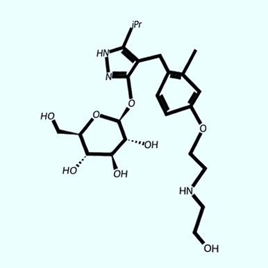 Cc1cc(OCCNCCO)ccc1Cc1c(O[C@@H]2O[C@H](CO)[C@@H](O)[C@H](O)[C@H]2O)n[nH]c1C(C)C